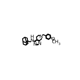 COc1ccc(CN2CCc3c(ncnc3NCC34CC5CC(CC(C5)C3)C4)C2)cc1